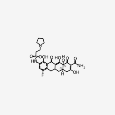 NC(=O)C1=C(O)C[C@@H]2CC3Cc4c(F)cc(NS(=O)(=O)CCN5CCCC5)c(O)c4C(=O)C3=C(O)[C@]2(O)C1=O